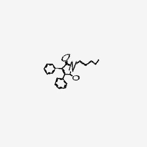 CCCCCN1C(=O)C(c2ccccc2)=C(c2ccccc2)C1=O